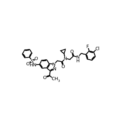 CC(=O)c1nn(CC(=O)N(CC(=O)NCc2cccc(Cl)c2F)C2CC2)c2ccc(NS(=O)(=O)c3ccccc3)cc12